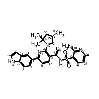 C[C@@H]1CN(c2nc(-c3ccc4[nH]ccc4c3)ccc2C(=O)NS(=O)(=O)c2cccnc2N)C(C)(C)C1